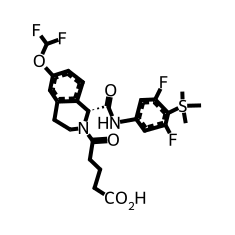 CS(C)(C)c1c(F)cc(NC(=O)[C@H]2c3ccc(OC(F)F)cc3CCN2C(=O)CCCC(=O)O)cc1F